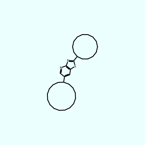 c1nc2nc(C3CCCCCCCCCCCCC3)sc2cc1C1CCCCCCCCCCCCCCC1